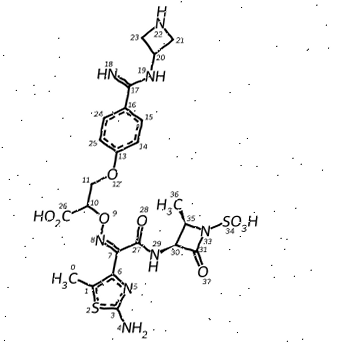 Cc1sc(N)nc1/C(=N/OC(COc1ccc(C(=N)NC2CNC2)cc1)C(=O)O)C(=O)N[C@@H]1C(=O)N(S(=O)(=O)O)[C@@H]1C